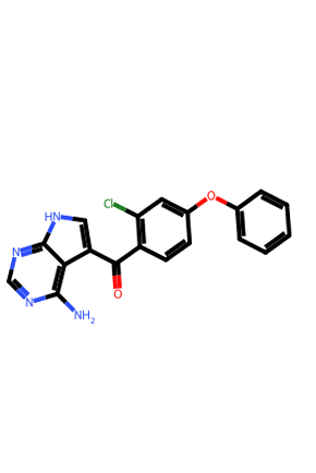 Nc1ncnc2[nH]cc(C(=O)c3ccc(Oc4ccccc4)cc3Cl)c12